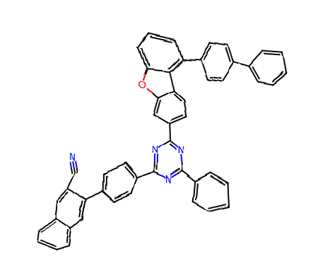 N#Cc1cc2ccccc2cc1-c1ccc(-c2nc(-c3ccccc3)nc(-c3ccc4c(c3)oc3cccc(-c5ccc(-c6ccccc6)cc5)c34)n2)cc1